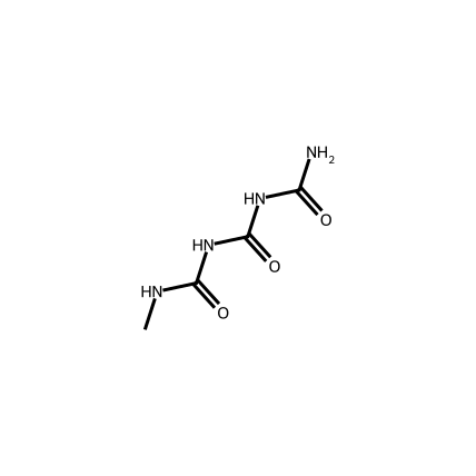 CNC(=O)NC(=O)NC(N)=O